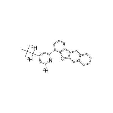 [2H]c1cc(C([2H])([2H])C(C)(C)C)cc(-c2cccc3c2oc2cc4ccccc4cc23)n1